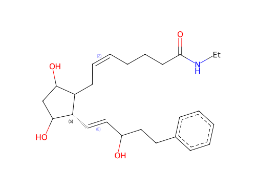 CCNC(=O)CCC/C=C\CC1C(O)CC(O)[C@H]1/C=C/C(O)CCc1ccccc1